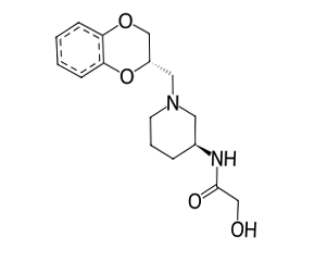 O=C(CO)N[C@H]1CCCN(C[C@H]2COc3ccccc3O2)C1